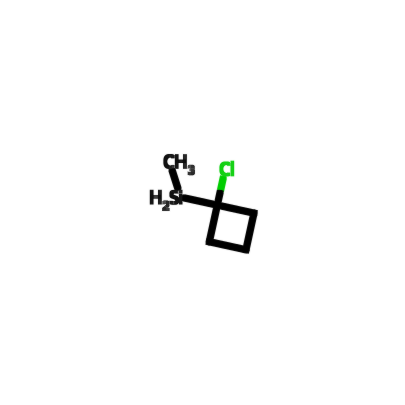 C[SiH2]C1(Cl)CCC1